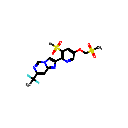 CCS(=O)(=O)c1cc(OCS(C)(=O)=O)cnc1-c1cn2cnc(C(F)(F)C(F)(F)F)cc2n1